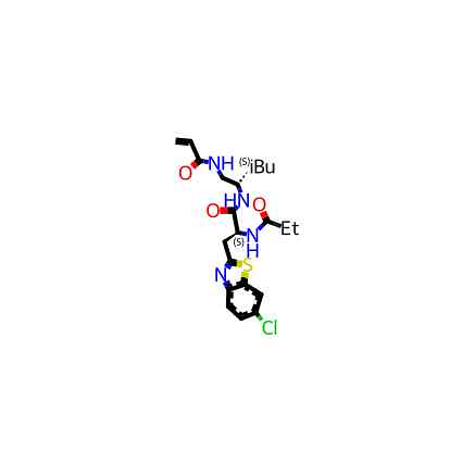 C=CC(=O)NCC(NC(=O)[C@H](Cc1nc2ccc(Cl)cc2s1)NC(=O)CC)[C@@H](C)CC